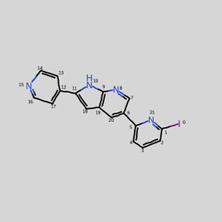 Ic1cccc(-c2cnc3[nH]c(-c4ccncc4)cc3c2)n1